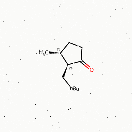 CCCCC[C@@H]1C(=O)CC[C@@H]1C